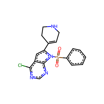 O=S(=O)(c1ccccc1)n1c(C2=CCNCC2)cc2c(Cl)ncnc21